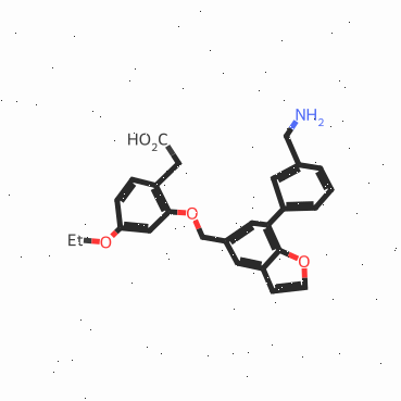 CCOc1ccc(CC(=O)O)c(OCc2cc(-c3cccc(CN)c3)c3occc3c2)c1